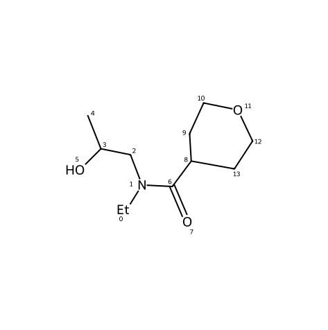 CCN(CC(C)O)C(=O)C1CCOCC1